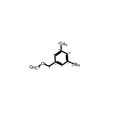 CCC(C)c1cc(COC=O)cc(OC(C)=O)c1